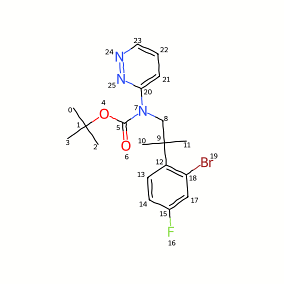 CC(C)(C)OC(=O)N(CC(C)(C)c1ccc(F)cc1Br)c1cccnn1